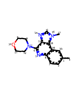 Cc1ccc2nc(N3CCOCC3)c3ncn(C)c3c2c1